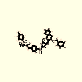 Cc1ccc(S(=O)(=O)NC(=O)Cc2ccc(NC3=NC(=O)C(=Cc4cc5ccccc5cc4OCc4ccccc4)S3)cc2)cc1